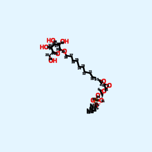 C1CO1.C1CO1.C1CO1.CCCCCCCCCCOC1O[C@H](CO)[C@@H](O)[C@H](O)[C@H]1O.O=P([O-])([O-])[O-].[Na+].[Na+].[Na+]